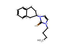 O=C(O)CCCn1ccn(C2CCc3ccccc3C2)c1=S